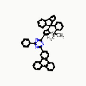 C[Si]1(C)c2ccccc2C2(c3ccccc3-c3ccccc32)c2ccc(-c3nc(-c4ccccc4)nc(-c4ccc5c6ccccc6c6ccccc6c5c4)n3)cc21